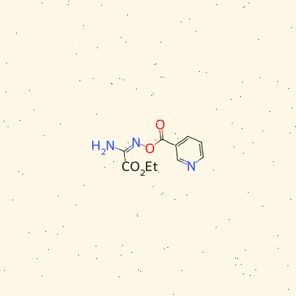 CCOC(=O)/C(N)=N\OC(=O)c1cccnc1